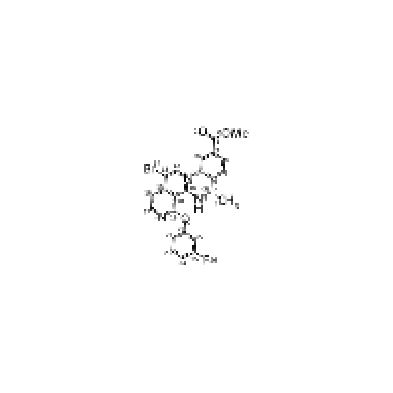 COC(=O)c1ccc([C@H](C)Nc2ncc(Br)c3ccnc(Oc4cccc(F)c4)c23)cc1